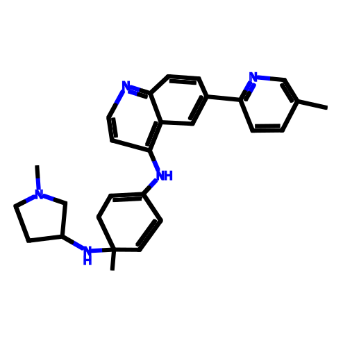 Cc1ccc(-c2ccc3nccc(NC4=CCC(C)(NC5CCN(C)C5)C=C4)c3c2)nc1